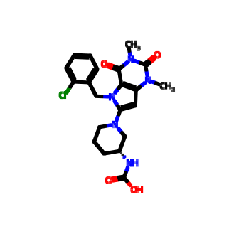 Cn1c(=O)c2c(cc(N3CCC[C@@H](NC(=O)O)C3)n2Cc2ccccc2Cl)n(C)c1=O